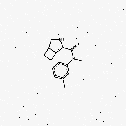 Cc1cccc(N(C)C(=O)C2NCC3CCC32)c1